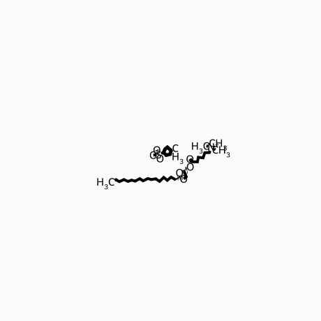 CCCCCCCCCCCCCCCCC[C@@H]1OC[C@@H](COC(=O)CCCCC[N+](C)(C)C)O1.Cc1ccc(S(=O)(=O)[O-])cc1